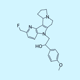 COc1ccc(C(O)Cn2c3c(c4nc(CF)ccc42)C2CCCN2CC3)cc1